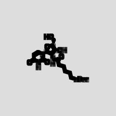 CCCCCCCCCCCCCCCC(=O)N[C@@H]1[C@H](O)[C@@H](CO)O[C@H]1n1ccc(=O)[nH]c1=O